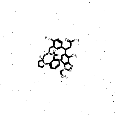 CCn1nnc2c(C)c(C(CC(=O)O)c3ccc(C)c(CN4C[C@H]5CCCN5c5ccccc5S4(=O)=O)c3)ccc21